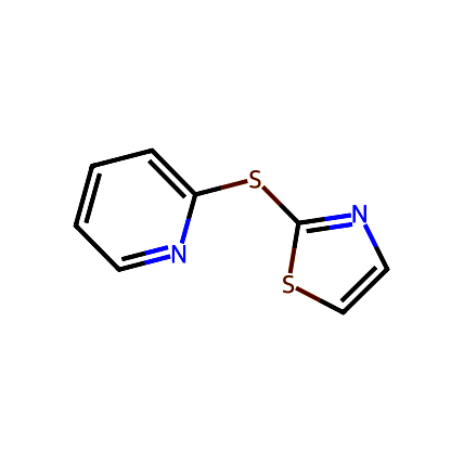 c1ccc(Sc2nccs2)nc1